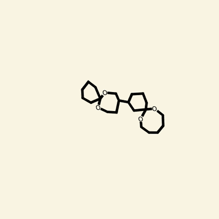 C1CCOC2(CCCC(C3CCOC4(CCCCC4)OC3)C2)OCC1